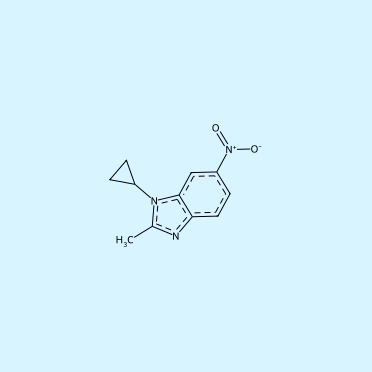 Cc1nc2ccc([N+](=O)[O-])cc2n1C1CC1